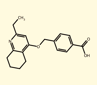 CCc1cc(OCc2ccc(C(=O)O)cc2)c2c(n1)CCCC2